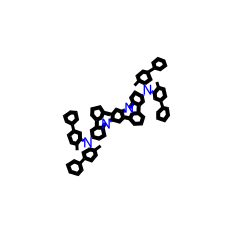 Cc1ccc(-c2ccccc2)cc1N(c1ccc2c(c1)c1cccc3c4cc5c(cc4n2c13)c1cccc2c3cc(N(c4cc(-c6ccccc6)ccc4C)c4cc(-c6ccccc6)ccc4C)ccc3n5c21)c1cc(-c2ccccc2)ccc1C